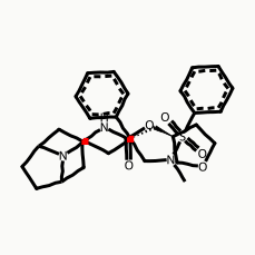 CN(C[C@@](C)(CCN1C2CCC1CC(NC(=O)O[C@H]1CCOC1)C2)c1ccccc1)S(=O)(=O)c1ccccc1